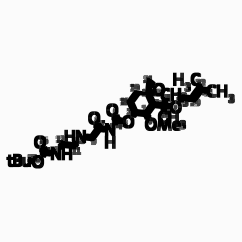 COC1C(OC(=O)NC(=O)CNCCNC(=O)OC(C)(C)C)CC[C@]2(CO2)C1C(C)(C)OCC=C(C)C